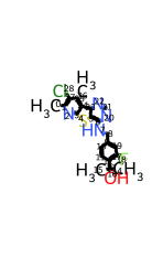 Cc1nc2sc3c(NCc4ccc(C(C)(C)O)c(F)c4)ncnc3c2c(C)c1Cl